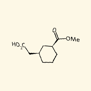 COC(=O)[C@H]1CCC[C@@H](CC(=O)O)C1